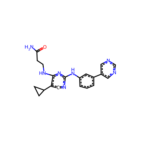 NC(=O)CCNc1nc(Nc2cccc(-c3cncnc3)c2)ncc1C1CC1